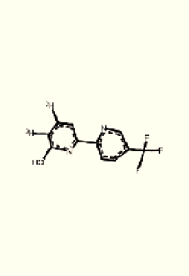 [2H]c1cc(-c2ccc(C(F)(F)F)cn2)nc(O)c1[2H]